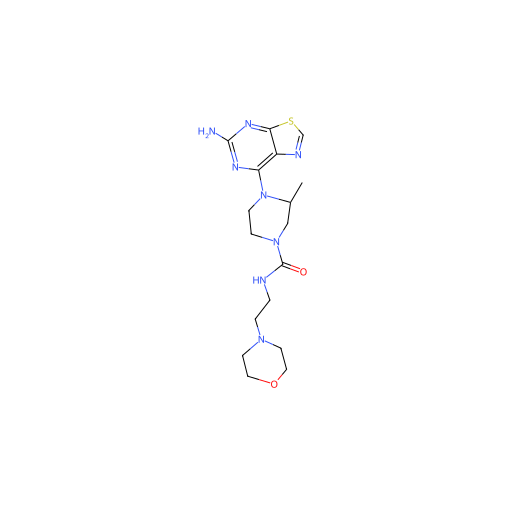 CC1CN(C(=O)NCCN2CCOCC2)CCN1c1nc(N)nc2scnc12